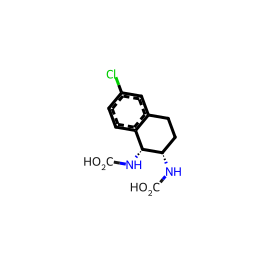 O=C(O)N[C@H]1CCc2cc(Cl)ccc2[C@H]1NC(=O)O